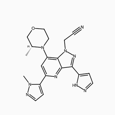 C[C@@H]1COCCN1c1cc(-c2ccnn2C)nc2c(-c3ccn[nH]3)nn(CC#N)c12